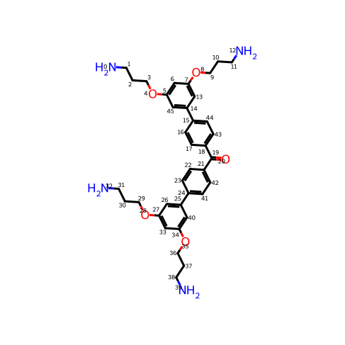 NCCCOc1cc(OCCCN)cc(-c2ccc(C(=O)c3ccc(-c4cc(OCCCN)cc(OCCCN)c4)cc3)cc2)c1